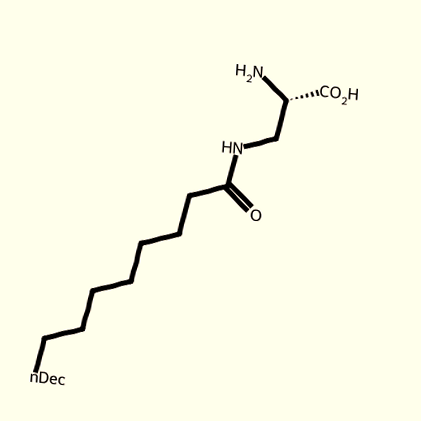 CCCCCCCCCCCCCCCCCC(=O)NC[C@H](N)C(=O)O